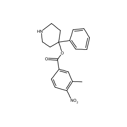 Cc1cc(C(=O)OC2(c3ccccc3)CCNCC2)ccc1[N+](=O)[O-]